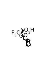 O=C(CC1C2CC3CC(C2)CC1C3)O[C@@H](CS(=O)(=O)O)C(F)(F)F